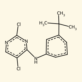 CC(C)(C)c1cccc(Nc2nc(Cl)ncc2Cl)c1